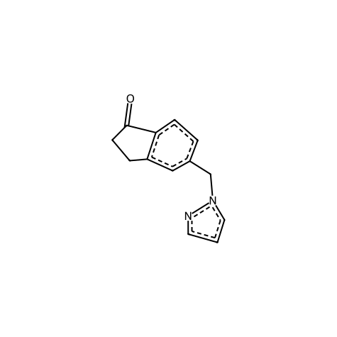 O=C1CCc2cc(Cn3cccn3)ccc21